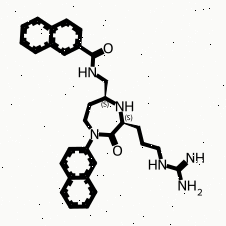 N=C(N)NCCC[C@@H]1N[C@H](CNC(=O)c2ccc3ccccc3c2)CCN(c2ccc3ccccc3c2)C1=O